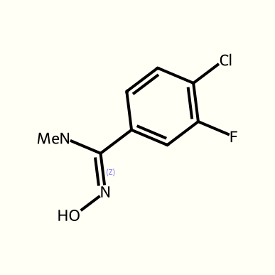 CN/C(=N\O)c1ccc(Cl)c(F)c1